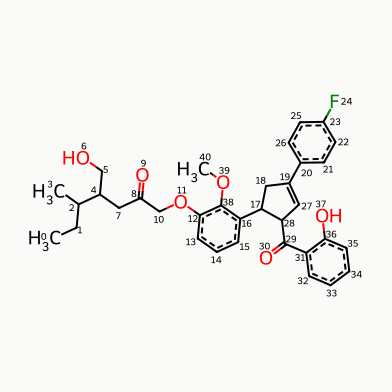 CCC(C)C(CO)CC(=O)COc1cccc(C2CC(c3ccc(F)cc3)=CC2C(=O)c2ccccc2O)c1OC